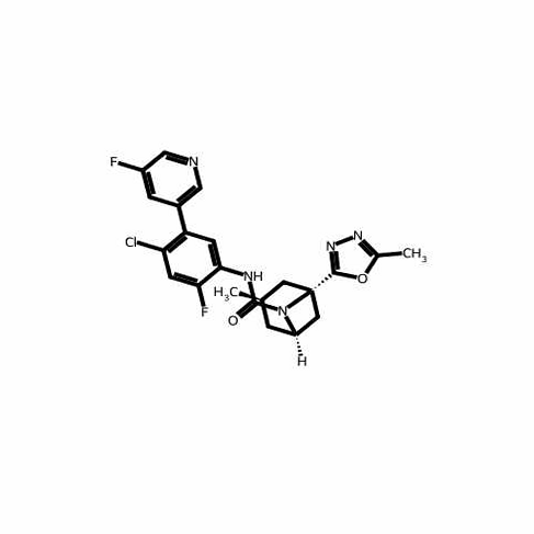 Cc1nnc([C@]23C[C@H](C)C[C@H](C2)N3C(=O)Nc2cc(-c3cncc(F)c3)c(Cl)cc2F)o1